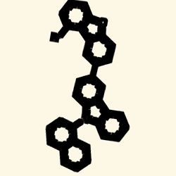 Brc1cccc2oc3ccc(-c4ccc5c(c4)c4ccccc4n5-c4cccc5ccccc45)cc3c12